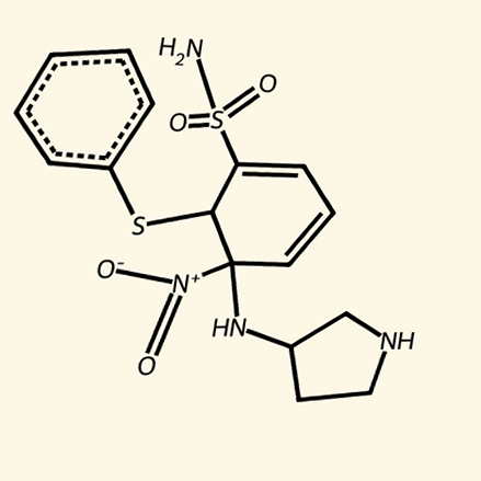 NS(=O)(=O)C1=CC=CC(NC2CCNC2)([N+](=O)[O-])C1Sc1ccccc1